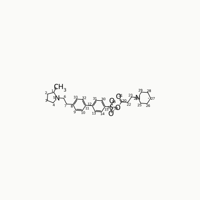 CC1CCCN1CCc1ccc(-c2ccc(S(=O)(=O)OC(=O)CCN3CC[CH]CC3)cc2)cc1